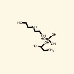 CCC(C)O.OB(O)O.OCCNCCO